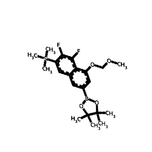 COCOc1cc(B2OC(C)(C)C(C)(C)O2)cc2cc([Si](C)(C)C)c(F)c(F)c12